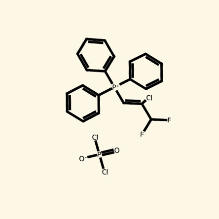 FC(F)C(Cl)=C[P+](c1ccccc1)(c1ccccc1)c1ccccc1.O=P([O-])(Cl)Cl